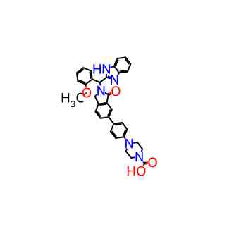 COc1ccccc1C(c1nc2ccccc2[nH]1)N1Cc2ccc(-c3ccc(N4CCN(C(=O)O)CC4)cc3)cc2C1=O